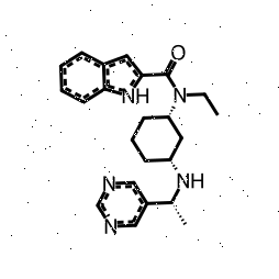 CCN(C(=O)c1cc2ccccc2[nH]1)[C@H]1CCC[C@@H](N[C@H](C)c2cncnc2)C1